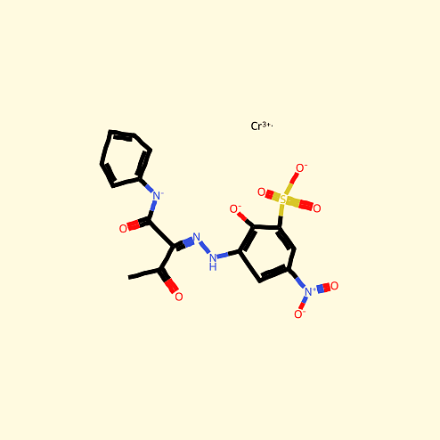 CC(=O)/C(=N\Nc1cc([N+](=O)[O-])cc(S(=O)(=O)[O-])c1[O-])C(=O)[N-]c1ccccc1.[Cr+3]